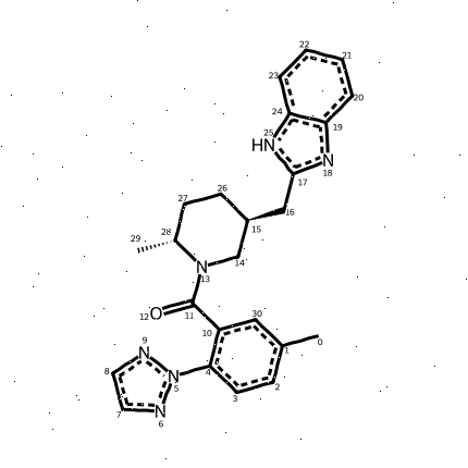 Cc1ccc(-n2nccn2)c(C(=O)N2C[C@H](Cc3nc4ccccc4[nH]3)CC[C@H]2C)c1